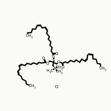 CCCCC/C=C\C/C=C\CCCCCCCC(=O)OCC(COC(=O)CCCCCCC/C=C\C/C=C\CCCCC)(COC(=O)CCCCCCC/C=C\C/C=C\CCCCC)C[N+](C)(C)C.[Cl-]